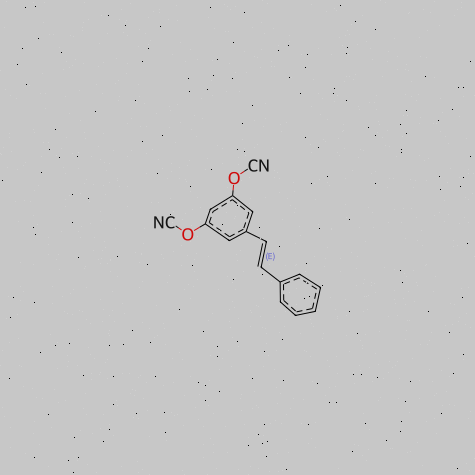 N#COc1cc(/C=C/c2ccccc2)cc(OC#N)c1